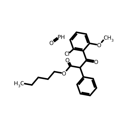 CCCCCOC(=O)C(C(=O)c1c(Cl)cccc1OC)c1ccccc1.O=P